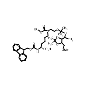 COCC1OC(C)(C)OC1C(C)OC(C)(C)OCCN(CCCC[C@H](NC(=O)OCC1c2ccccc2-c2ccccc21)C(=O)O)C(=O)OC(C)(C)C